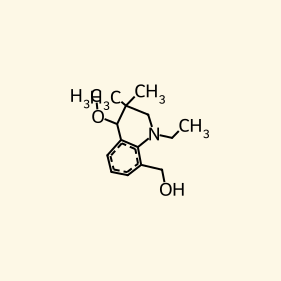 CCN1CC(C)(C)C(OC)c2cccc(CO)c21